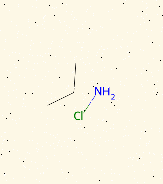 CCC.NCl